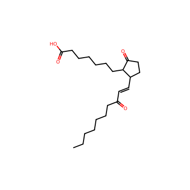 CCCCCCCC(=O)/C=C/C1CCC(=O)C1CCCCCCC(=O)O